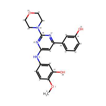 COc1ccc(Nc2cc(-c3cccc(O)c3)nc(N3CCOCC3)n2)cc1O